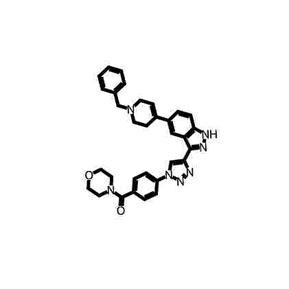 O=C(c1ccc(-n2cc(-c3n[nH]c4ccc(C5=CCN(Cc6ccccc6)CC5)cc34)nn2)cc1)N1CCOCC1